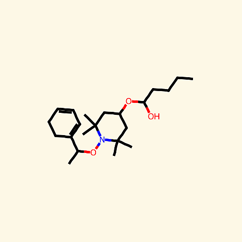 CCCCC(O)OC1CC(C)(C)N(OC(C)C2=CC=CCC2)C(C)(C)C1